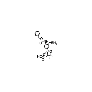 BCc1cc(C(=O)OC(CS(=O)(=O)O)C(F)(F)F)ccc1NC(=O)OCc1ccccc1